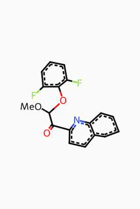 COC(Oc1c(F)cccc1F)C(=O)c1ccc2ccccc2n1